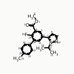 COC(=O)c1cc(-c2ccnn2C(C)C)cc(-c2ccc(C)cc2)c1F